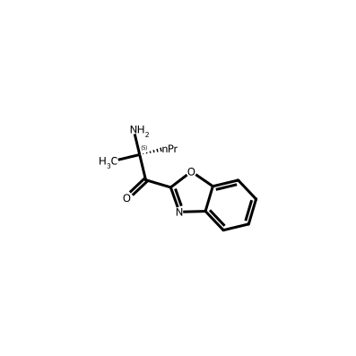 CCC[C@](C)(N)C(=O)c1nc2ccccc2o1